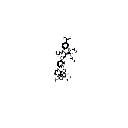 C/C(N)=C(\COc1ccc(N2CCNC(C)(C)C2=O)nn1)N(N)c1ccc(C(F)F)cc1